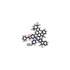 Cc1cc2c(cc1-c1c3c(c4c5c1C(C)c1cc6oc(-c7ccccc7)cc6cc1B5N(c1ccc(C(C)(C)C)cc1)c1cc5c(cc1-4)-c1ccccc1C5(C)C)C(C)(C)c1ccccc1-3)C(C)(C)CCC2(C)C